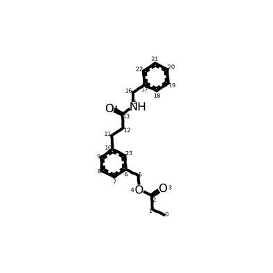 CCC(=O)OCc1cccc(CCC(=O)NCc2ccccc2)c1